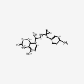 Nc1ccc(CC2(NCC(O)c3ccc(O)c4c3OCC(=O)N4)CC2)cc1